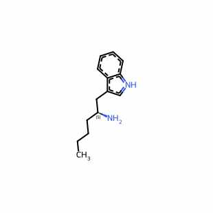 CCCC[C@H](N)Cc1c[nH]c2ccccc12